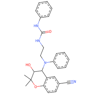 CC1(C)Oc2ccc(C#N)cc2C(N(CCNC(=O)Nc2ccccc2)c2ccccc2)C1O